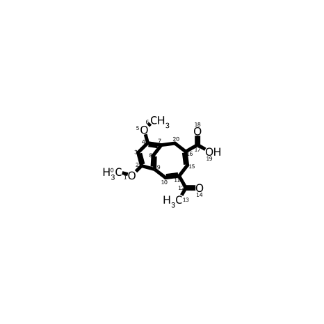 COc1cc(OC)c2cc1/C=C(C(C)=O)\C=C(\C(=O)O)C2